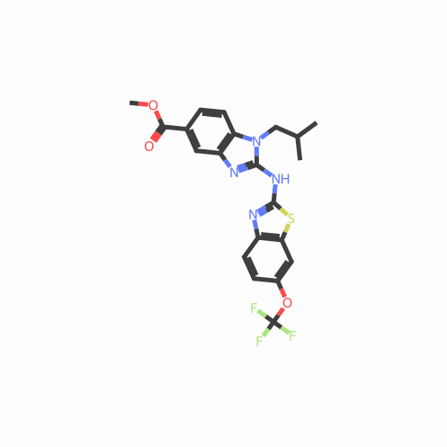 COC(=O)c1ccc2c(c1)nc(Nc1nc3ccc(OC(F)(F)F)cc3s1)n2CC(C)C